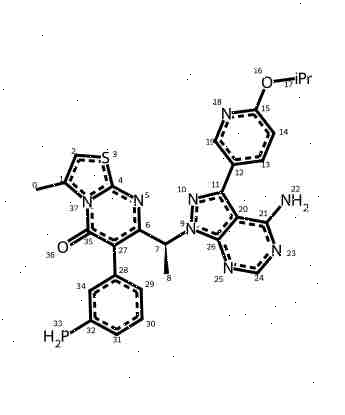 Cc1csc2nc([C@H](C)n3nc(-c4ccc(OC(C)C)nc4)c4c(N)ncnc43)c(-c3cccc(P)c3)c(=O)n12